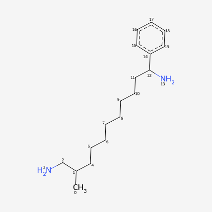 CC(CN)CCCCCCCCC(N)c1ccccc1